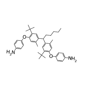 CCCCCC(c1cc(C(C)(C)C)c(Oc2ccc(N)cc2)cc1C)c1cc(C(C)(C)C)c(Oc2ccc(N)cc2)cc1C